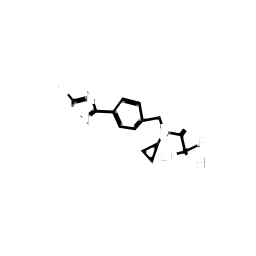 CCC(C)(CC)C(=O)N(Cc1ccc(-c2noc(C(F)(F)F)n2)cc1)C1CC1